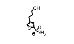 NS(=O)(=O)c1cc(CCCO)cs1